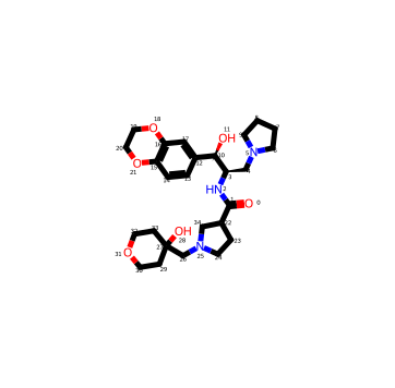 O=C(N[C@H](CN1CCCC1)[C@H](O)c1ccc2c(c1)OCCO2)C1CCN(CC2(O)CCOCC2)C1